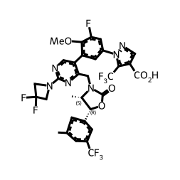 COc1c(F)cc(-n2ncc(C(=O)O)c2C(F)(F)F)cc1-c1cnc(N2CC(F)(F)C2)nc1CN1C(=O)O[C@H](c2cc(C)cc(C(F)(F)F)c2)[C@@H]1C